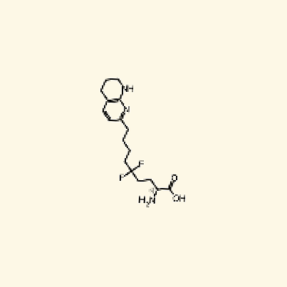 N[C@@H](CCC(F)(F)CCCCc1ccc2c(n1)NCCC2)C(=O)O